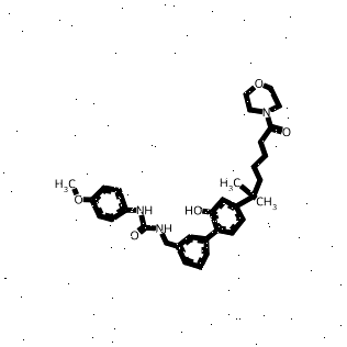 COc1ccc(NC(=O)NCc2cccc(-c3ccc(C(C)(C)CCCCC(=O)N4CCOCC4)cc3O)c2)cc1